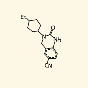 CCC1CCC(N2Cc3cc(C#N)ccc3NC2=O)CC1